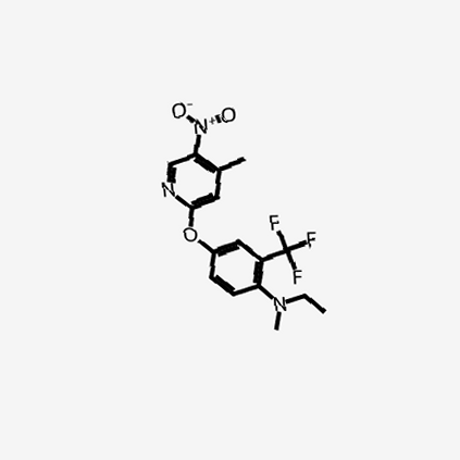 CCN(C)c1ccc(Oc2cc(C)c([N+](=O)[O-])cn2)cc1C(F)(F)F